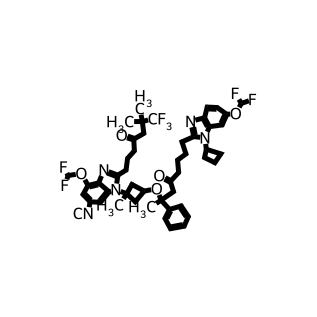 CC(CC(=O)CCCCc1nc2ccc(OC(F)F)cc2n1C1CCC1)(OC1CC(C)(n2c(CCCC(=O)CC(C)(C)C(F)(F)F)nc3c(OC(F)F)cc(C#N)cc32)C1)c1ccccc1